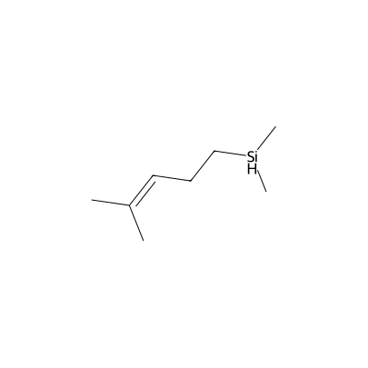 CC(C)=CCC[SiH](C)C